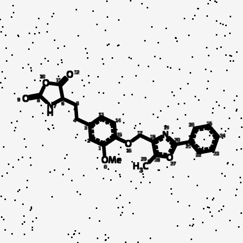 COc1cc(CCC2NC(=O)OC2=O)ccc1OCc1nc(-c2ccccc2)oc1C